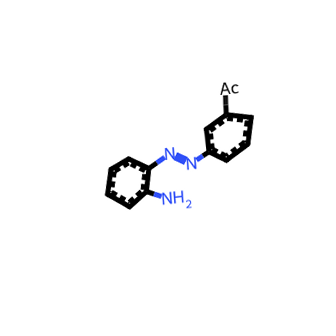 CC(=O)c1cccc(N=Nc2ccccc2N)c1